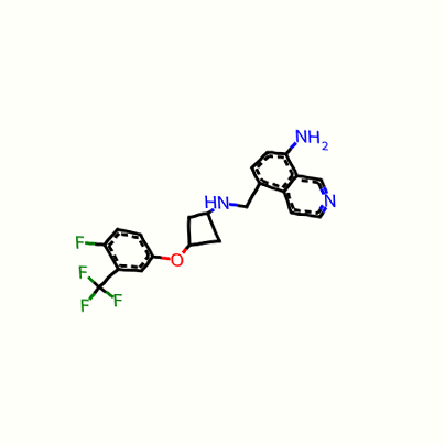 Nc1ccc(CNC2CC(Oc3ccc(F)c(C(F)(F)F)c3)C2)c2ccncc12